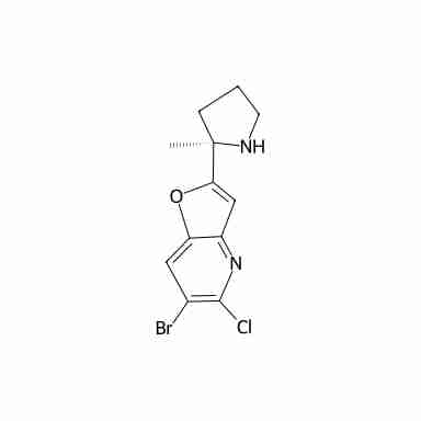 C[C@]1(c2cc3nc(Cl)c(Br)cc3o2)CCCN1